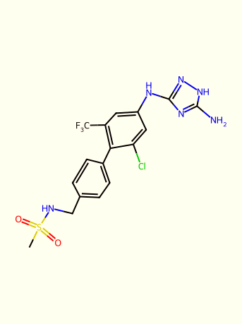 CS(=O)(=O)NCc1ccc(-c2c(Cl)cc(Nc3n[nH]c(N)n3)cc2C(F)(F)F)cc1